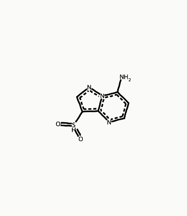 Nc1ccnc2c([SH](=O)=O)cnn12